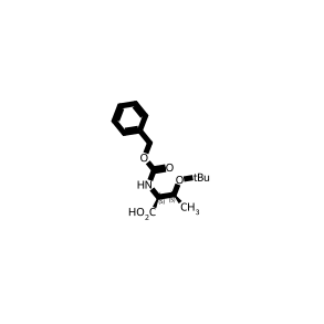 C[C@H](OC(C)(C)C)[C@H](NC(=O)OCc1ccccc1)C(=O)O